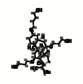 CCCC[C@@H](C)[C@H]1CC[C@H]2[C@@H]3[C@H](OCCCO)C[C@@H]4C[C@H](OCCCCO)CC[C@]4(C)[C@H]3C[C@H](OCCCO)[C@]12C